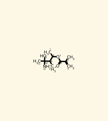 C=C(C)C(=O)OC(C)C(C)C(C)(N)O